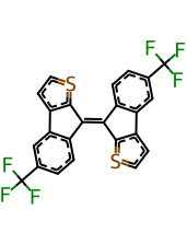 FC(F)(F)c1ccc2c(c1)-c1ccsc1C2=C1c2ccc(C(F)(F)F)cc2-c2ccsc21